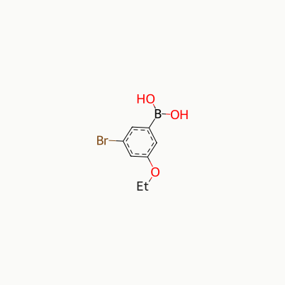 CCOc1cc(Br)cc(B(O)O)c1